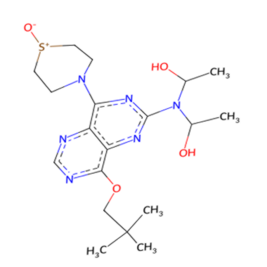 CC(O)N(c1nc(N2CC[S+]([O-])CC2)c2ncnc(OCC(C)(C)C)c2n1)C(C)O